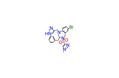 Cn1cnc(S(=O)(=O)N2Cc3cc(Br)ccc3N(Cc3c[nH]cn3)CC2Cc2ccccc2)c1